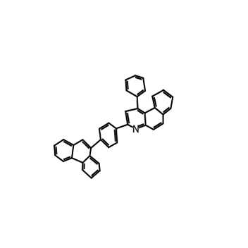 c1ccc(-c2cc(-c3ccc(-c4cc5ccccc5c5ccccc45)cc3)nc3ccc4ccccc4c23)cc1